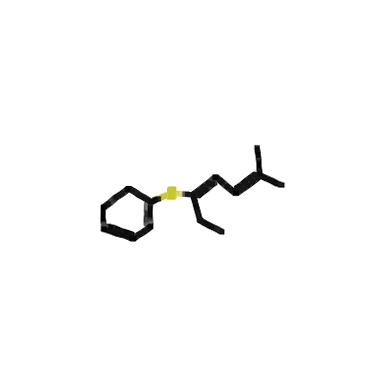 CC/C(=C\C=C(C)C)SC1=CC=CCC1